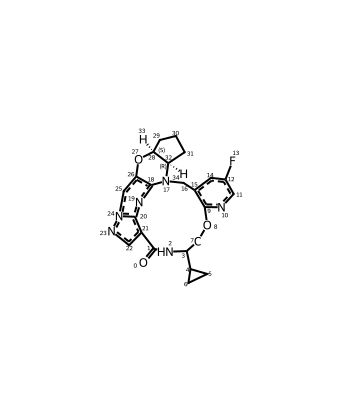 O=C1NC(C2CC2)COc2ncc(F)cc2CN2c3nc4c1cnn4cc3O[C@H]1CCC[C@H]12